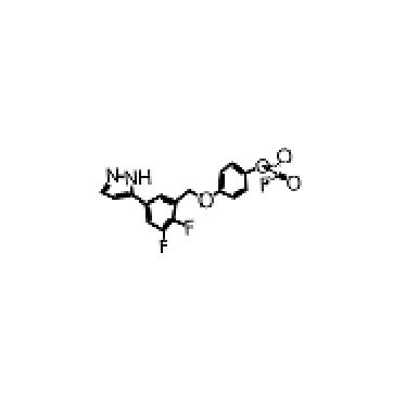 O=S(=O)(F)Oc1ccc(OCc2cc(-c3ccn[nH]3)cc(F)c2F)cc1